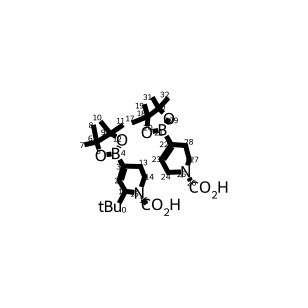 CC(C)(C)C1C=C(B2OC(C)(C)C(C)(C)O2)CCN1C(=O)O.CC1(C)OB(C2=CCN(C(=O)O)CC2)OC1(C)C